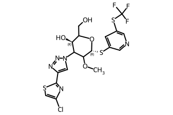 COC1C(n2cc(-c3nc(Cl)cs3)nn2)[C@@H](O)C(CO)O[C@@H]1Sc1cncc(SC(F)(F)F)c1